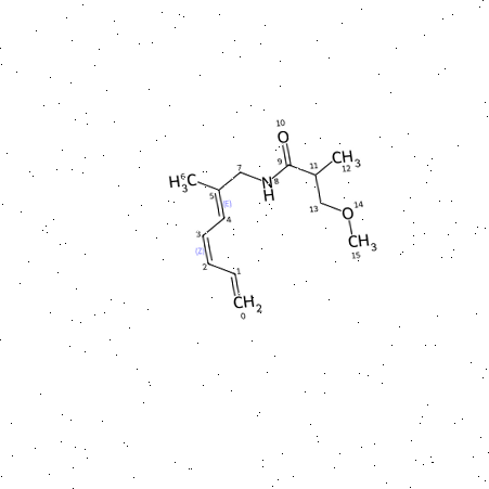 C=C/C=C\C=C(/C)CNC(=O)C(C)COC